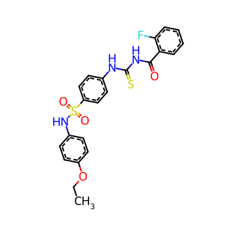 CCOc1ccc(NS(=O)(=O)c2ccc(NC(=S)NC(=O)c3ccccc3F)cc2)cc1